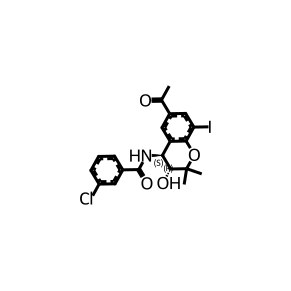 CC(=O)c1cc(I)c2c(c1)[C@H](NC(=O)c1cccc(Cl)c1)[C@@H](O)C(C)(C)O2